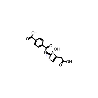 O=C(O)Cc1cs/c(=N/C(=O)c2ccc(C(=O)O)cc2)n1O